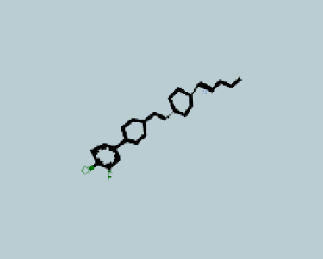 CCC/C=C/[C@H]1CC[C@H](CCC2CCC(c3ccc(Cl)c(F)c3)CC2)CC1